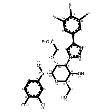 CCOC(=O)CO[C@@H]1[C@@H](n2cc(-c3cc(F)c(F)c(F)c3)nn2)[C@@H](O)[C@@H](CO)O[C@@H]1[S+]([O-])c1ccc(Cl)c(Cl)c1